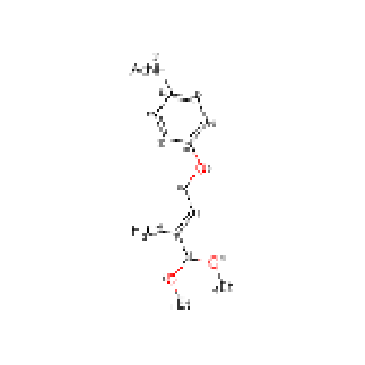 CCOC(OCC)/C(C)=C/COc1ccc(NC(C)=O)cc1